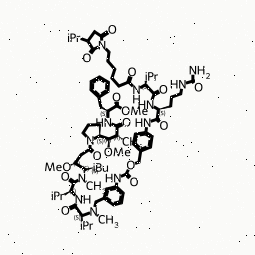 CC[C@H](C)[C@@H]([C@@H](CC(=O)N1CCC[C@H]1[C@H](OC)[C@@H](C)C(=O)N[C@@H](Cc1ccccc1)C(=O)OC)OC)N(C)C(=O)[C@@H](NC(=O)[C@H](C(C)C)N(C)Cc1cccc(NC(=O)OCc2ccc(NC(=O)[C@H](CCCNC(N)=O)NC(=O)[C@@H](NC(=O)CCCCCN3C(=O)CC(C(C)C)C3=O)C(C)C)cc2)c1)C(C)C